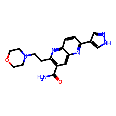 NC(=O)c1cc2nc(-c3cn[nH]c3)ccc2nc1CCN1CCOCC1